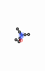 c1ccc(-c2ccc(-c3nc(-c4ccc(-c5ccccc5)cc4)nc(-c4ccc5c(n4)oc4cccc(-c6ccccc6)c45)n3)cc2)cc1